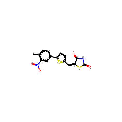 Cc1ccc(-c2ccc(/C=C3/SC(=O)NC3=O)s2)cc1[N+](=O)[O-]